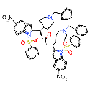 O=C(CC(c1cc2cc([N+](=O)[O-])ccc2n1S(=O)(=O)c1ccccc1)C1CCN(Cc2ccccc2)CC1)CC(c1cc2cc([N+](=O)[O-])ccc2n1S(=O)(=O)c1ccccc1)C1CCN(Cc2ccccc2)CC1